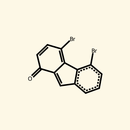 O=C1C=CC(Br)=C2C1=Cc1cccc(Br)c12